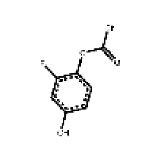 CCC(=O)Oc1ccc(O)cc1F